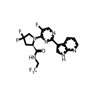 O=C(NCC(F)(F)F)[C@H]1CC(F)(F)CN1c1nc(-c2c[nH]c3ncccc23)ncc1F